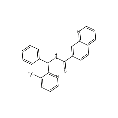 O=C(NC(c1ccccc1)c1ncccc1C(F)(F)F)c1ccc2cccnc2c1